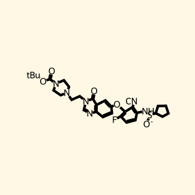 CC(C)(C)OC(=O)N1CCN(CCn2cnc3ccc(Oc4c(F)ccc(N[S+]([O-])C5CCCC5)c4C#N)cc3c2=O)CC1